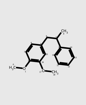 COc1ccc(C[C](C)c2ccccc2)cc1OC